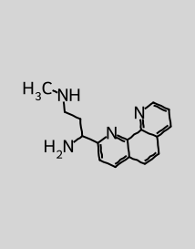 CNCCC(N)c1ccc2ccc3cccnc3c2n1